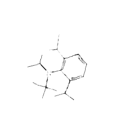 CC(C)c1cccc(C(C)C)c1N(C(C)C)C(C)(C)C